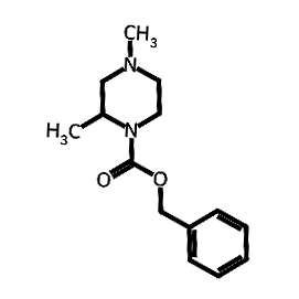 CC1CN(C)CCN1C(=O)OCc1ccccc1